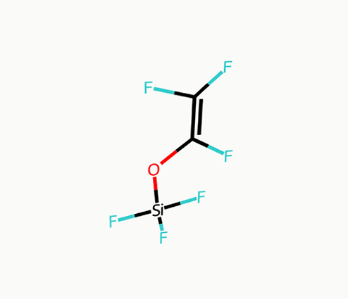 FC(F)=C(F)O[Si](F)(F)F